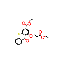 CCOC(=O)CCOc1cc(C(=O)OCC)cc2sc3ccccc3c(=O)c12